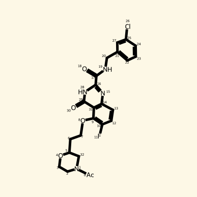 CC(=O)N1CCOC(CCOc2c(F)ccc3nc(C(=O)NCc4cccc(Cl)c4)[nH]c(=O)c23)C1